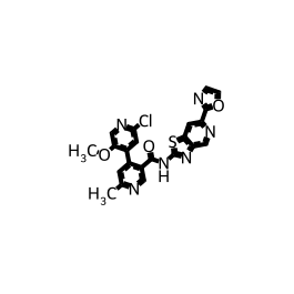 COc1cnc(Cl)cc1-c1cc(C)ncc1C(=O)Nc1nc2cnc(-c3ncco3)cc2s1